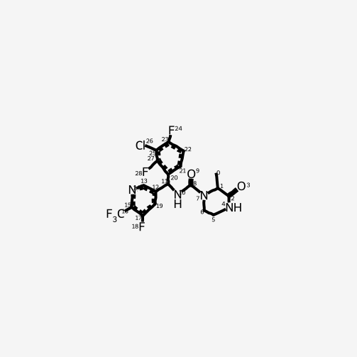 CC1C(=O)NCCN1C(=O)NC(c1cnc(C(F)(F)F)c(F)c1)c1ccc(F)c(Cl)c1F